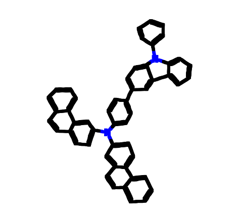 c1ccc(-n2c3ccccc3c3cc(-c4ccc(N(c5ccc6c(ccc7ccccc76)c5)c5ccc6ccc7ccccc7c6c5)cc4)ccc32)cc1